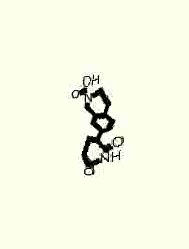 O=C1CCC(c2ccc3c(c2)CN(C(=O)O)CC3)C(=O)N1